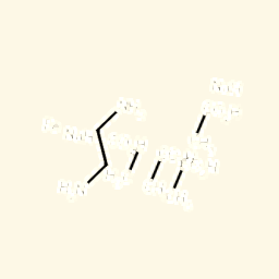 CC(=O)O.CC(=O)O.CC(=O)O.CC(=O)O.NCCN.[Fe].[NaH].[NaH]